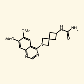 COc1cc2ncnc(N3CC4(CC(NC(N)=O)C4)C3)c2cc1OC